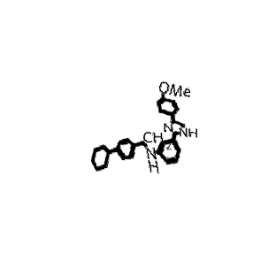 C=C(Nc1cccc(C2=NC(c3ccc(OC)cc3)CN2)c1)c1ccc(C2CCCCC2)cc1